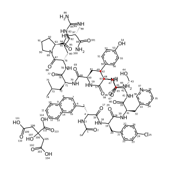 CC(=O)N[C@H](Cc1ccc2ccccc2c1)C(=O)N[C@H](Cc1ccc(Cl)cc1)C(=O)N[C@H](Cc1cccnc1)C(=O)N[C@@H](CO)C(=O)N[C@@H](Cc1ccc(O)cc1)C(=O)N[C@H](CCCNC(N)=O)C(=O)N[C@@H](CC(C)C)C(=O)N[C@@H](CCCNC(=N)N)C(=O)N1CCC[C@H]1C(=O)N[C@H](C)C(N)=O.O=C(O)CC(O)(CC(=O)O)C(=O)O